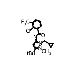 Cn1c(C(C)(C)C)c/c(=N/C(=O)c2cccc(C(F)(F)F)c2Cl)n1CC1CC1